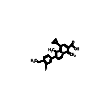 C=C1C(C(=O)O)=CC(C2CC2)=C2C(C)=C(c3ccc(CC)c(F)c3)C=CN12